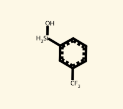 O[SiH2]c1cccc(C(F)(F)F)c1